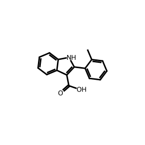 Cc1ccccc1-c1[nH]c2ccccc2c1C(=O)O